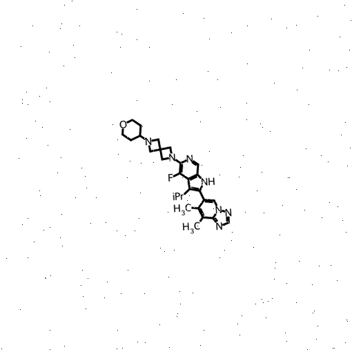 Cc1c(-c2[nH]c3cnc(N4CC5(C4)CN(C4CCOCC4)C5)c(F)c3c2C(C)C)cn2ncnc2c1C